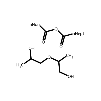 CC(O)COC(C)CO.CCCCCCCCCC(=O)OC(=O)CCCCCCC